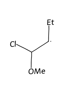 CC[CH]C(Cl)OC